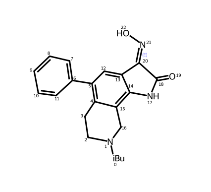 CCC(C)N1CCc2c(-c3ccccc3)cc3c(c2C1)NC(=O)/C3=N/O